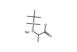 CC(O[Si](C)(C)C(C)(C)C)C(=O)[O-].[Na+]